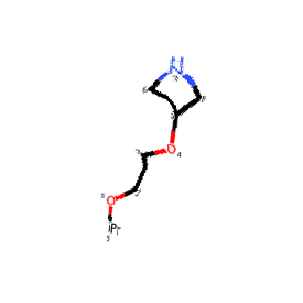 CC(C)OCCOC1CNC1